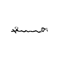 CO[C@@H]1CCN(CCCCCCCCCC(=O)C(C)(C)C)C1